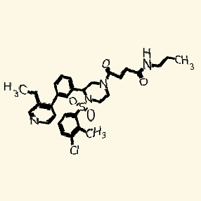 CCCNC(=O)CCC(=O)N1CCN(S(=O)(=O)c2cccc(Cl)c2C)C(c2cccc(-c3ccncc3CC)c2)C1